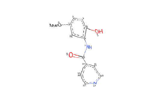 COc1ccc(O)c(NC(=O)c2ccncc2)c1